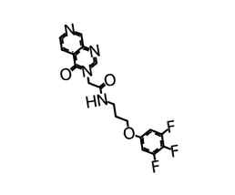 O=C(Cn1cnc2cnccc2c1=O)NCCCOc1cc(F)c(F)c(F)c1